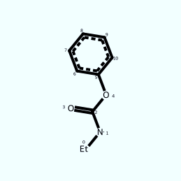 CC[N]C(=O)Oc1ccccc1